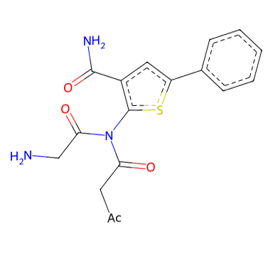 CC(=O)CC(=O)N(C(=O)CN)c1sc(-c2ccccc2)cc1C(N)=O